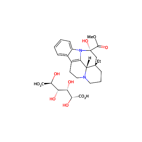 CC[C@]12CCCN3CCc4c(n(c5ccccc45)[C@@](O)(C(=O)OC)C1)[C@@H]32.O=C(O)[C@@H](O)[C@@H](O)[C@H](O)[C@@H](O)C(=O)O